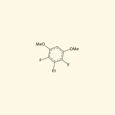 CCc1c(F)c(OC)cc(OC)c1F